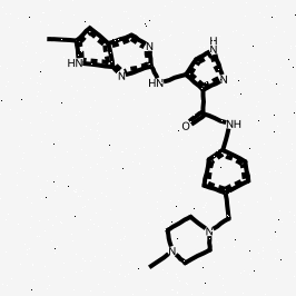 Cc1cc2cnc(Nc3c[nH]nc3C(=O)Nc3ccc(CN4CCN(C)CC4)cc3)nc2[nH]1